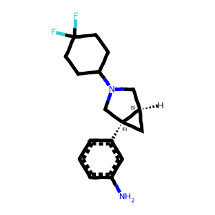 Nc1cc[c]c([C@@]23C[C@@H]2CN(C2CCC(F)(F)CC2)C3)c1